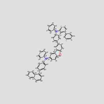 c1ccc(-c2cccc3c2c2cc(-c4ccc5oc6ccc(N(c7ccccc7)c7ccc(-c8cccc9ccccc89)cc7)cc6c5c4)ccc2n3-c2ccccc2)cc1